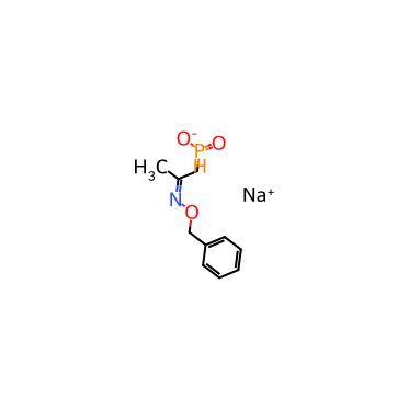 CC(C[PH](=O)[O-])=NOCc1ccccc1.[Na+]